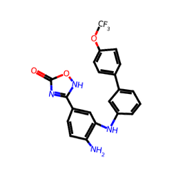 Nc1ccc(-c2nc(=O)o[nH]2)cc1Nc1cccc(-c2ccc(OC(F)(F)F)cc2)c1